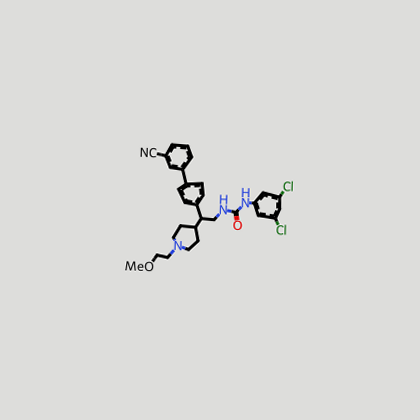 COCCN1CCC(C(CNC(=O)Nc2cc(Cl)cc(Cl)c2)c2ccc(-c3cccc(C#N)c3)cc2)CC1